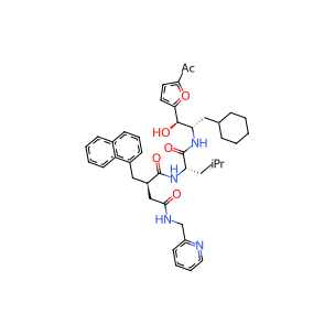 CC(=O)c1ccc([C@H](O)[C@H](CC2CCCCC2)NC(=O)[C@H](CC(C)C)NC(=O)[C@@H](CC(=O)NCc2ccccn2)Cc2cccc3ccccc23)o1